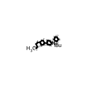 C/C=C\C=C/c1ccc(-c2ccc(N(c3ccccc3)C(C)CC)cc2)cc1